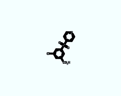 O=C(O)c1cc(Cl)cc(S(=O)(=O)c2ccncc2)c1